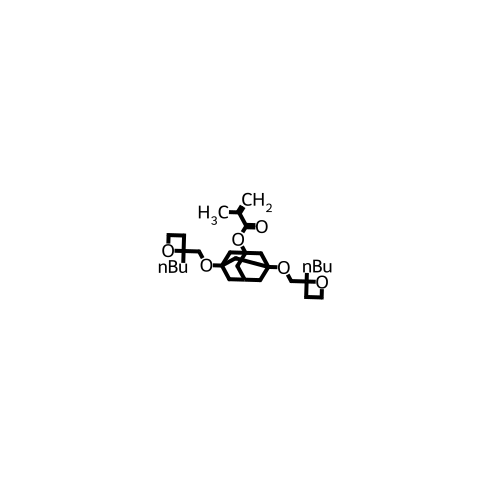 C=C(C)C(=O)OC12CC3CC(OCC4(CCCC)CCO4)(CC(OCC4(CCCC)CCO4)(C3)C1)C2